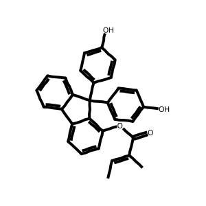 CC=C(C)C(=O)Oc1cccc2c1C(c1ccc(O)cc1)(c1ccc(O)cc1)c1ccccc1-2